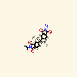 C=C(C)N1C(=O)c2ccc(C(c3ccc4c(c3)C(=O)NC4=O)(C(F)(F)F)C(F)(F)F)cc2C1=O